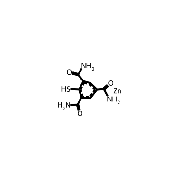 NC(=O)c1cc(C(N)=O)c(S)c(C(N)=O)c1.[Zn]